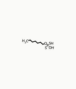 CCCCCCCOP(O)(=S)S